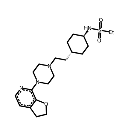 CCS(=O)(=O)N[C@H]1CC[C@H](CCN2CCN(c3nccc4c3OCC4)CC2)CC1